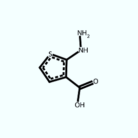 NNc1sccc1C(=O)O